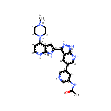 CCC(=O)Nc1cncc(-c2cnc3[nH]nc(-c4cc5c(N6CCN(C)CC6)ccnc5[nH]4)c3c2)c1